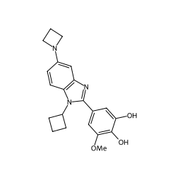 COc1cc(-c2nc3cc(N4CCC4)ccc3n2C2CCC2)cc(O)c1O